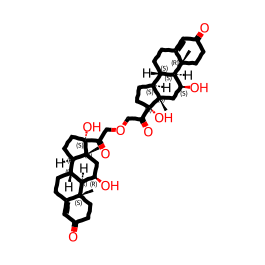 C[C@]12CCC(=O)C=C1CC[C@@H]1[C@@H]2[C@@H](O)C[C@@]2(C)[C@H]1CC[C@]2(O)C(=O)COCC(=O)[C@]1(O)CC[C@@H]2[C@H]3CCC4=CC(=O)CC[C@@]4(C)[C@@H]3[C@H](O)C[C@]21C